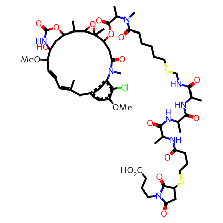 COc1cc2cc(c1Cl)N(C)C(=O)CC(OC(=O)C(C)N(C)C(=O)CCCCCSCNC(=O)C(C)NC(=O)C(C)NC(=O)C(C)NC(=O)CCCSC1CC(=O)N(CCCC(=O)O)C1=O)C1(C)OC1C(C)C1CC(O)(NC(=O)O1)C(OC)/C=C/C=C(\C)C2